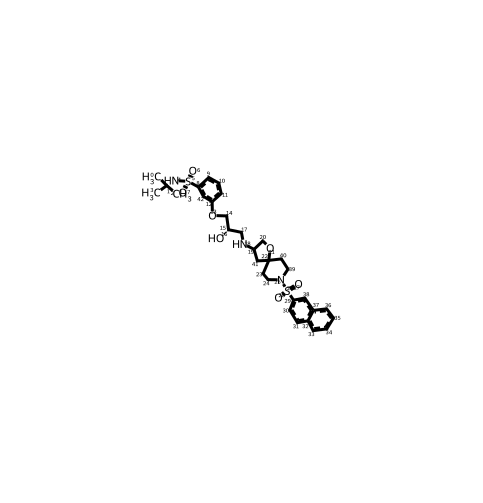 CC(C)(C)NS(=O)(=O)c1cccc(OC[C@@H](O)CNC2COC3(CCN(S(=O)(=O)c4ccc5ccccc5c4)CC3)C2)c1